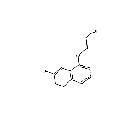 CCC1=Cc2c(cccc2OCCO)CC1